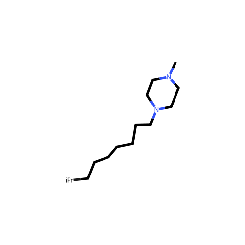 CC(C)CCCCCCCN1CCN(C)CC1